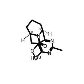 Cc1nc(O)c2c(n1)[C@@H]1CCC[C@H](C2)N1C(=O)OC(C)(C)C